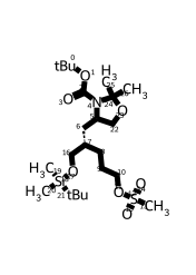 CC(C)(C)OC(=O)N1C(C[C@H](CCCOS(C)(=O)=O)CO[Si](C)(C)C(C)(C)C)COC1(C)C